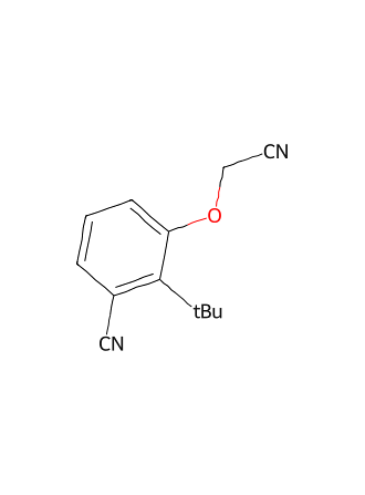 CC(C)(C)c1c(C#N)cccc1OCC#N